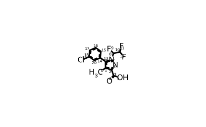 Cc1c(C(=O)O)nn(C(F)C(F)F)c1-c1cccc(Cl)c1